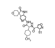 CCc1nocc1C(=O)NC(C(=O)Nc1cc2c(cn1)C1(CCOCC1)C(=O)N2)C1CCC(C)CC1